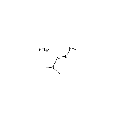 CN(C)C=NN.Cl.Cl